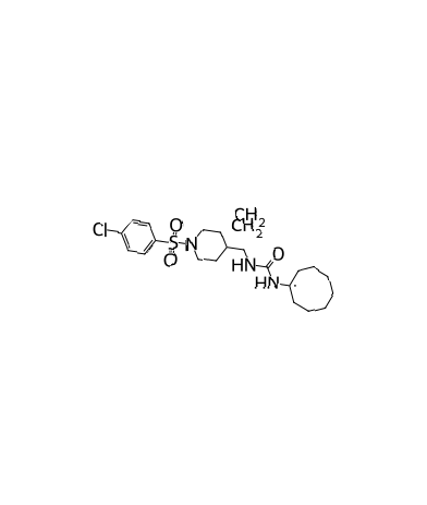 O=C(NCC1CCN(S(=O)(=O)c2ccc(Cl)cc2)CC1)N[C]1CCCCCCC1.[CH2].[CH2]